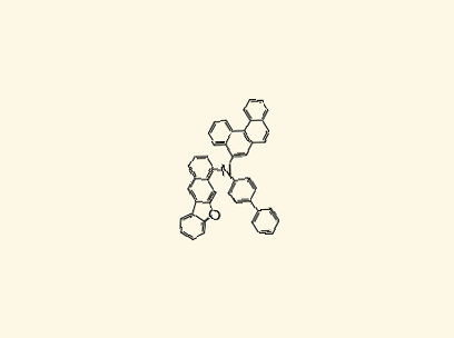 c1ccc(-c2ccc(N(c3cccc4cc5c(cc34)oc3ccccc35)c3cc4ccc5ccccc5c4c4ccccc34)cc2)cc1